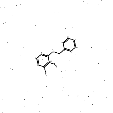 Fc1cccc(SCc2ccccc2)c1Cl